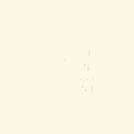 NS(=O)(=O)c1cc(OCc2ccccc2)cc(F)n1